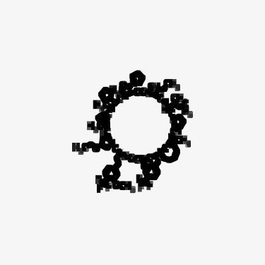 CCC[C@H]1CN[C@@H]([C@@H](C)CC)CN2CCC[C@H]2CN(C)[C@H]2C/C=C\CCN(C2)[C@@H](Cc2ccc(C(F)(F)F)cc2)CN(C)CCN[C@@H](CCc2ccc(C(F)(F)F)c(OC)c2)CN2C[C@H](OCC)C[C@H]2CN(C)C2(CCC2)CN(C)[C@@H](C2CCCC2)CN(C)[C@H](C(=O)N2CCCC2)CCN1C